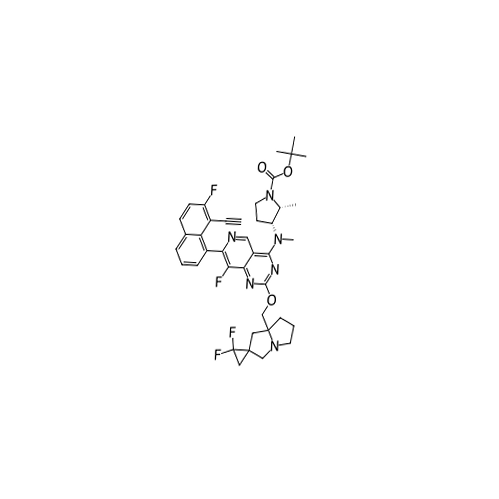 C#Cc1c(F)ccc2cccc(-c3ncc4c(N(C)[C@@H]5CCN(C(=O)OC(C)(C)C)[C@@H]5C)nc(OCC56CCCN5CC5(C6)CC5(F)F)nc4c3F)c12